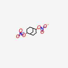 O=[N+]([O-])OC1CCC2CC1CCC2O[N+](=O)[O-]